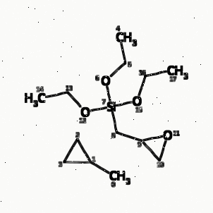 CC1CC1.CCO[Si](CC1CO1)(OCC)OCC